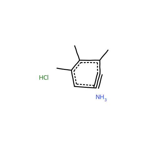 Cc1c#ccc(C)c1C.Cl.N